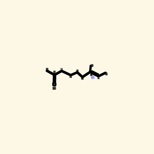 C/C=C(\C)CCCCC(C)=O